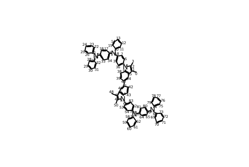 Cc1c(C)n(-c2ccc(N(c3ccccc3)c3ccc(N(c4ccccc4)c4ccccc4)cc3)cc2)c2ccc(-c3ccc4c(c3)c(C)c(C)n4-c3ccc(N(c4ccccc4)c4ccc(N(c5ccccc5)c5ccccc5)cc4)cc3)cc12